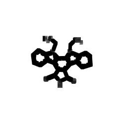 CCn1c2ccccc2c2c3c(c4c5ccccc5n(CC)c4c21)C(=O)NC3=O